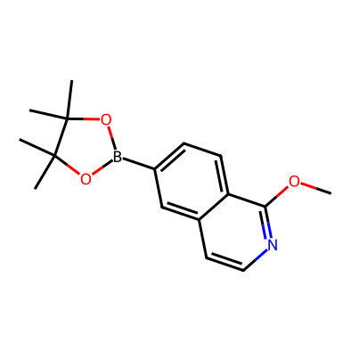 COc1nccc2cc(B3OC(C)(C)C(C)(C)O3)ccc12